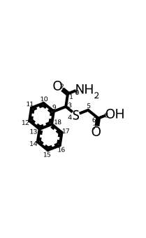 NC(=O)C(SCC(=O)O)c1cccc2ccccc12